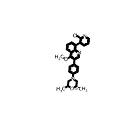 COc1c(-c2ccc(N3CC(C)O[C@@H](C)C3)cc2)cnc2c(-c3cccnc3Cl)cccc12